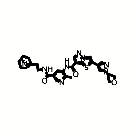 Cc1ncc(C(=O)NCCN2CC3CCC2CC3)cc1NC(=O)c1cnn2cc(-c3cnn(C4COC4)c3)sc12